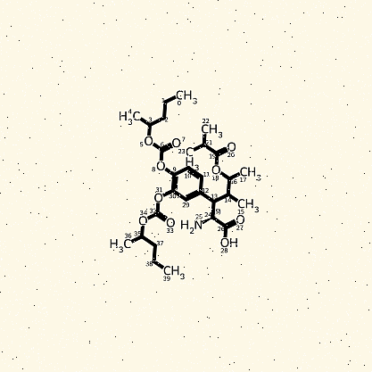 CCCC(C)OC(=O)Oc1ccc(C(C(C)C(C)OC(=O)C(C)C)[C@H](N)C(=O)O)cc1OC(=O)OC(C)CCC